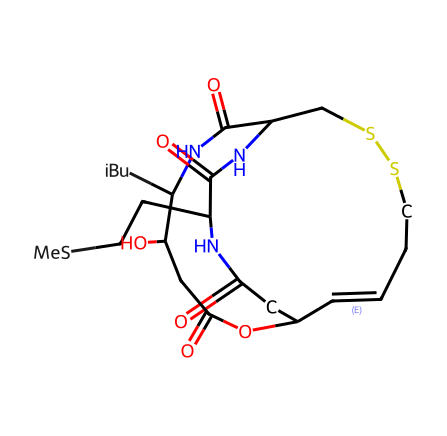 CCC(C)C1NC(=O)C2CSSCC/C=C/C(CC(=O)NC(CCSC)C(=O)N2)OC(=O)CC1O